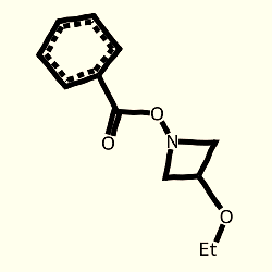 CCOC1CN(OC(=O)c2ccccc2)C1